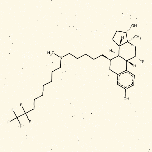 CN(CCCCCCCC(F)(F)C(F)(F)F)CCCCC[C@@H]1Cc2cc(O)ccc2[C@@H]2[C@@H]1[C@@H]1CC[C@H](O)[C@@]1(C)C[C@@H]2F